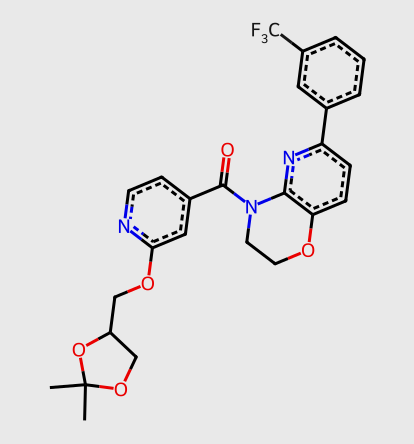 CC1(C)OCC(COc2cc(C(=O)N3CCOc4ccc(-c5cccc(C(F)(F)F)c5)nc43)ccn2)O1